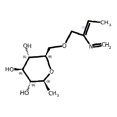 C=N/C(=C\C)COC[C@H]1O[C@@H](C)[C@H](O)[C@@H](O)[C@@H]1O